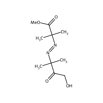 COC(=O)C(C)(C)N=NC(C)(C)C(=O)CO